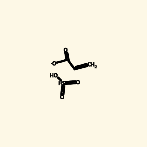 C=CC([O])=O.O=[SH](=O)O